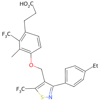 CCc1ccc(-c2nsc(C(F)(F)F)c2COc2ccc(CCC(=O)O)c(C(F)(F)F)c2C)cc1